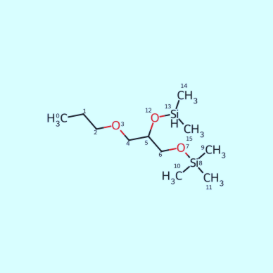 CCCOCC(CO[Si](C)(C)C)O[SiH](C)C